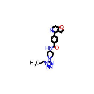 CCCn1nnnc1N1CCC(NC(=O)c2ccc(-c3nccc4occc34)cc2)CC1